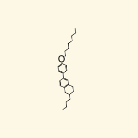 CCCCCCCCOc1ccc(-c2ccc3c(c2)CCC(CCCC)C3)cc1